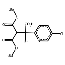 CCC(C(=O)O)(c1ccc(Cl)cn1)C(C(=O)OC(C)(C)C)C(=O)OC(C)(C)C